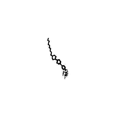 CCCCCCCCCCC1CCC(c2ccc(-c3ccc(OC(F)(F)C(F)(F)F)cc3)cc2)CC1